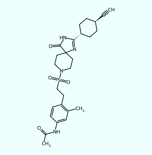 C#C[C@H]1CC[C@H](C2=NC3(CCN(S(=O)(=O)CCc4ccc(NC(C)=O)cc4C)CC3)C(=O)N2)CC1